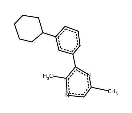 Cc1cnc(C)c(-c2cccc(C3CCCCC3)c2)n1